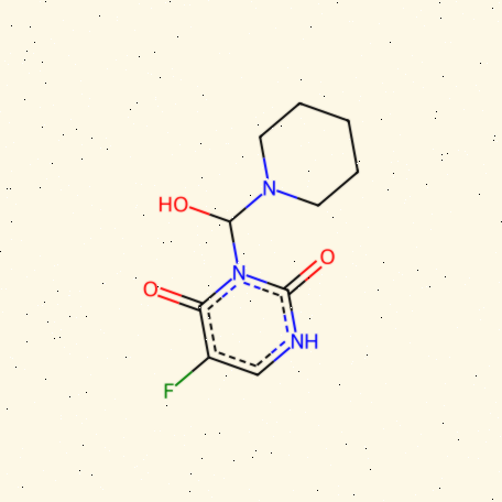 O=c1[nH]cc(F)c(=O)n1C(O)N1CCCCC1